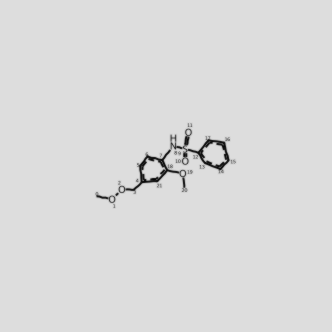 COOCc1ccc(NS(=O)(=O)c2ccccc2)c(OC)c1